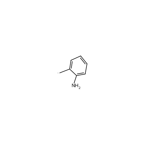 [CH2]c1ccccc1N